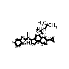 CC(C)CNS(=O)(=O)c1cc2c(c3cnc(C4CC4)cc13)CCC2Nc1nc2ccccc2[nH]1